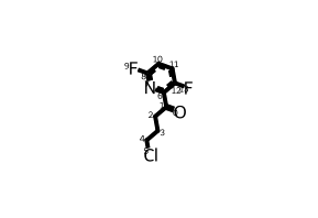 O=C(CCCCl)c1nc(F)ccc1F